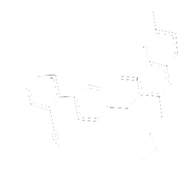 CCCCc1nc2ccc(C)cc2c(=O)n1Cc1ccc(-c2ccncc2C#N)cc1